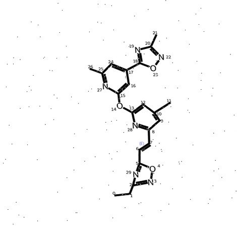 CCc1noc(/C=C/c2cc(C)cc(Oc3cc(-c4nc(C)no4)cc(C)n3)n2)n1